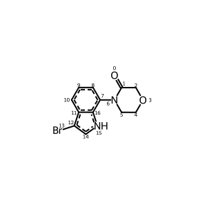 O=C1COCCN1c1cccc2c(Br)c[nH]c12